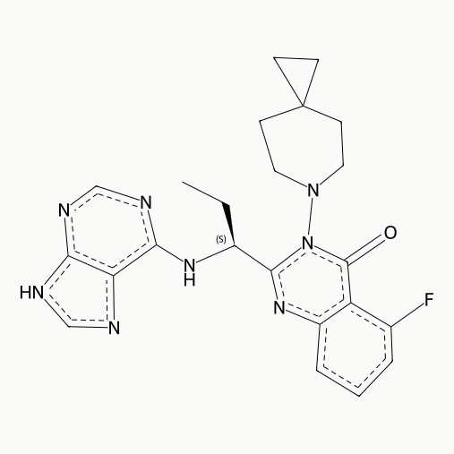 CC[C@H](Nc1ncnc2[nH]cnc12)c1nc2cccc(F)c2c(=O)n1N1CCC2(CC1)CC2